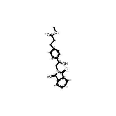 COC(=O)CCc1ccc(C(O)CN2C(=O)c3ccccc3C2=O)cc1